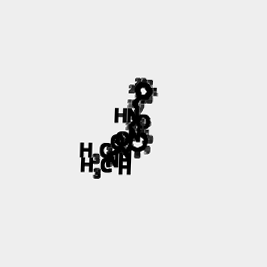 CNC(C)C(=O)NC1CCCCN(CC(=O)NCCc2ccccc2)C1=O